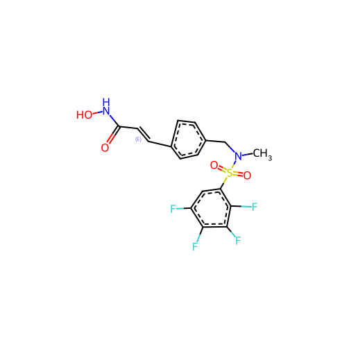 CN(Cc1ccc(/C=C/C(=O)NO)cc1)S(=O)(=O)c1cc(F)c(F)c(F)c1F